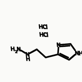 Cl.Cl.NNCCc1c[nH]cn1